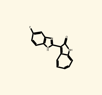 O=c1[nH]c2cccccc-2c1-c1nc2cc(F)ccc2[nH]1